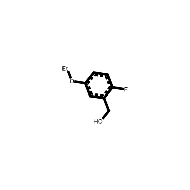 CCOc1ccc(F)c([CH]O)c1